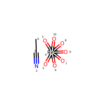 CC#N.[O]=[Re](=[O])(=[O])(=[O])(=[O])(=[O])=[O]